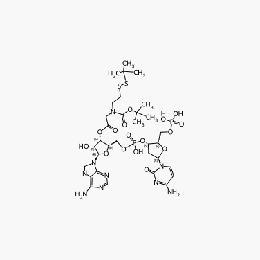 CC(C)(C)OC(=O)N(CCSSC(C)(C)C)CC(=O)O[C@H]1[C@@H](O)[C@H](n2cnc3c(N)ncnc32)O[C@@H]1COP(=O)(O)O[C@H]1C[C@H](n2ccc(N)nc2=O)O[C@@H]1COP(=O)(O)O